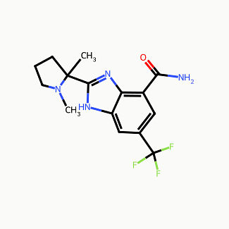 CN1CCCC1(C)c1nc2c(C(N)=O)cc(C(F)(F)F)cc2[nH]1